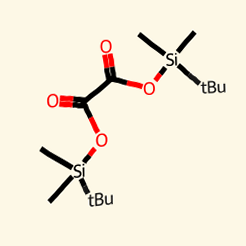 CC(C)(C)[Si](C)(C)OC(=O)C(=O)O[Si](C)(C)C(C)(C)C